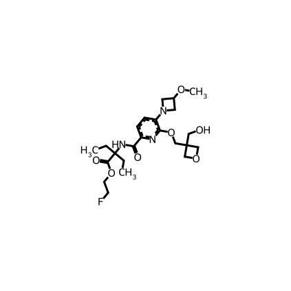 CCC(CC)(NC(=O)c1ccc(N2CC(OC)C2)c(OCC2(CO)COC2)n1)C(=O)OCCF